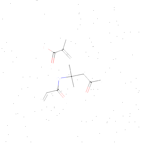 C=C(C)C(=O)O.C=CC(=O)NC(C)(C)CC(C)=O